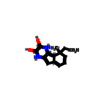 CC1(CC(=O)O)C=CC=C2C=c3[nH]c(=O)c(=O)[nH]c3=C21